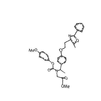 COC(=O)CN(C(=O)Oc1ccc(OC)cc1)C(C)c1ccc(OCCc2nc(-c3ccccc3)oc2C)cc1